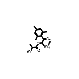 Cc1cc(C)c(C(=O)C(OC(=O)C(C)C(C)C)C(C)C)c(C)c1.O=P